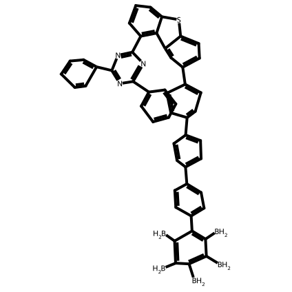 Bc1c(B)c(B)c(-c2ccc(-c3ccc(-c4ccc(-c5ccc6sc7cccc(-c8nc(-c9ccccc9)nc(-c9ccccc9)n8)c7c6c5)cc4)cc3)cc2)c(B)c1B